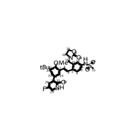 COc1c(/C=C/c2ccc(NS(C)(=O)=O)cc2CN2CCOC2=O)cc(-c2cc(F)c[nH]c2=O)cc1C(C)(C)C